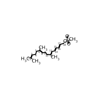 CC(C)=CCCC(C)=CCCC(C)=CC=CC=CCOS(C)(=O)=O